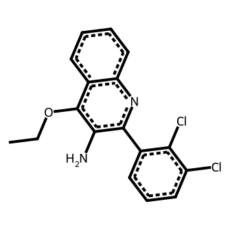 CCOc1c(N)c(-c2cccc(Cl)c2Cl)nc2ccccc12